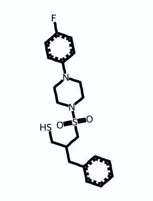 O=S(=O)(CC(CS)Cc1ccccc1)N1CCN(c2ccc(F)cc2)CC1